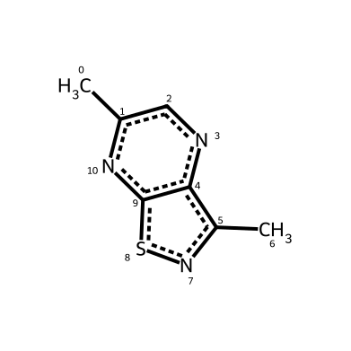 Cc1cnc2c(C)nsc2n1